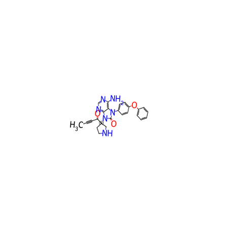 CC#CC(=O)[C@]1(n2c(=O)n(-c3ccc(Oc4ccccc4)cc3)c3c(N)ncnc32)CCNC1